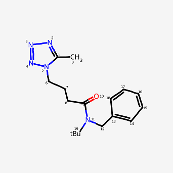 Cc1nnnn1CCCC(=O)N(Cc1ccccc1)C(C)(C)C